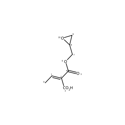 CC=C(C(=O)O)C(=O)OCC1CO1